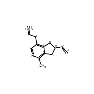 C=CCc1cnc(C)c2c1CC(C=O)C2